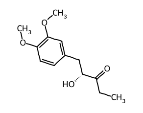 CCC(=O)[C@H](O)Cc1ccc(OC)c(OC)c1